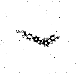 COCC(=O)N1CCN(c2ccc(-c3nc4c(NC5CCN(C(C)C)CC5)c(Cl)cnc4[nH]3)cc2)CC1